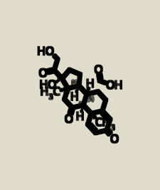 C[C@]12C=CC(=O)C=C1CC[C@@H]1[C@@H]2C(=O)C[C@@]2(C)[C@H]1CC[C@]2(O)C(=O)CO.O=CO